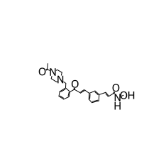 CC(=O)N1CCN(Cc2ccccc2C(=O)C=Cc2cccc(C=CC(=O)NO)c2)CC1